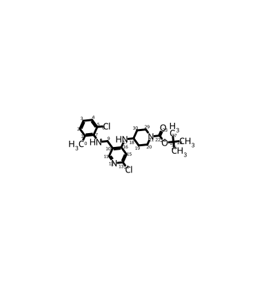 Cc1cccc(Cl)c1NCc1cnc(Cl)cc1NC1CCN(C(=O)OC(C)(C)C)CC1